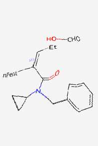 CC/C=C(/CCCCC)C(=O)N(Cc1ccccc1)C1CC1.O=CO